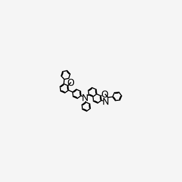 C1=CC2Oc3c(-c4ccc(N(c5ccccc5)c5cccc6c5ccc5nc(-c7ccccc7)oc56)cc4)cccc3C2C=C1